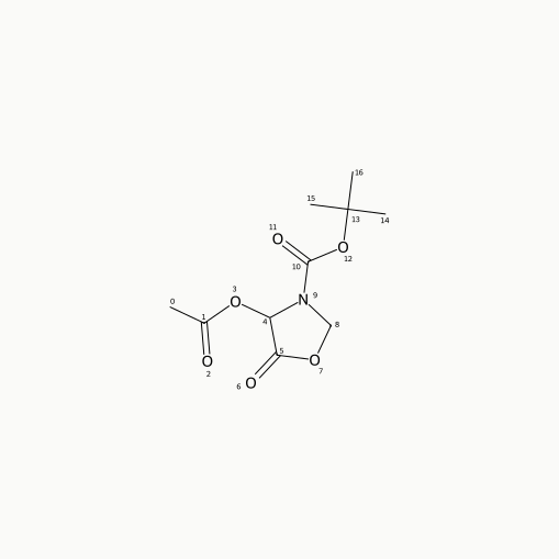 CC(=O)OC1C(=O)OCN1C(=O)OC(C)(C)C